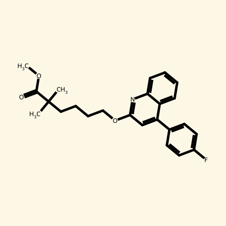 COC(=O)C(C)(C)CCCCOc1cc(-c2ccc(F)cc2)c2ccccc2n1